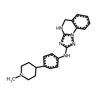 CN1CCC(c2ccc(Nc3nc4n(n3)-c3ccccc3CN4)cc2)CC1